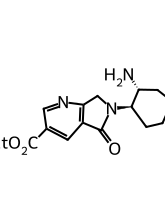 CCOC(=O)c1cnc2c(c1)C(=O)N([C@@H]1CCCC[C@H]1N)C2